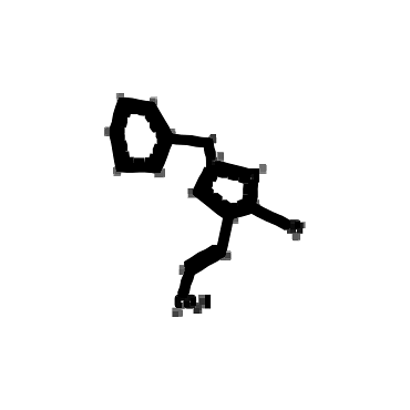 CC(C)c1nn(Cc2ccccc2)cc1C=CC(=O)O